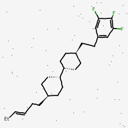 CC/C=C/CC[C@H]1CC[C@H]([C@H]2CC[C@H](CCc3cc(F)c(F)c(F)c3)CC2)CC1